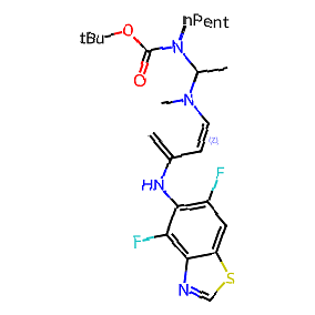 C=C(/C=C\N(C)C(C)N(CCCCC)C(=O)OC(C)(C)C)Nc1c(F)cc2scnc2c1F